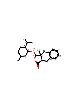 CC1CCC(C(C)C)C(OC2OC(=O)C3Cc4ccccc4CC23C)C1